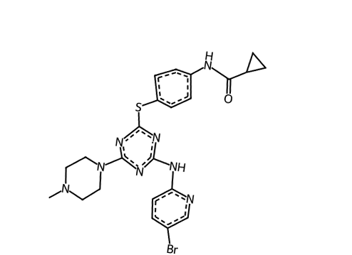 CN1CCN(c2nc(Nc3ccc(Br)cn3)nc(Sc3ccc(NC(=O)C4CC4)cc3)n2)CC1